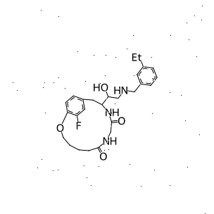 CCc1cccc(CNCC(O)C2Cc3ccc(c(F)c3)OCCCCC(=O)NCC(=O)N2)c1